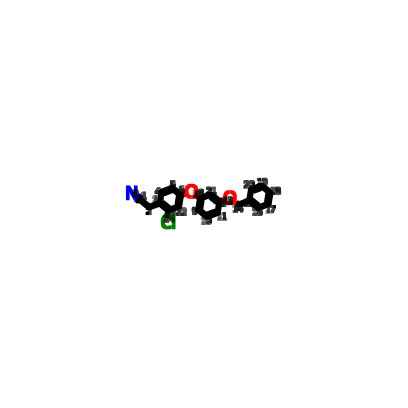 N#CCc1ccc(Oc2cccc(OCc3ccccc3)c2)cc1Cl